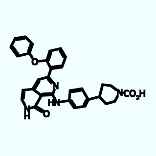 O=C(O)N1CCC(c2ccc(Nc3nc(-c4ccccc4Oc4ccccc4)cc4cc[nH]c(=O)c34)cc2)CC1